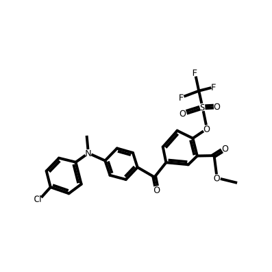 COC(=O)c1cc(C(=O)c2ccc(N(C)c3ccc(Cl)cc3)cc2)ccc1OS(=O)(=O)C(F)(F)F